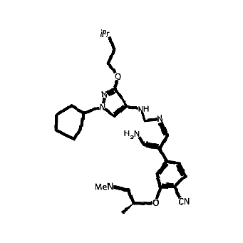 CNC[C@H](C)Oc1cc(C(/C=N\CNc2cn(C3CCCCC3)nc2OCCC(C)C)=C/N)ccc1C#N